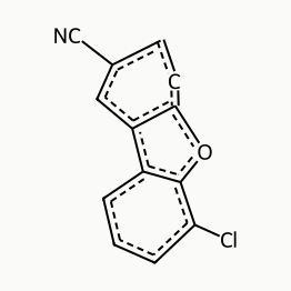 N#Cc1ccc2oc3c(Cl)cccc3c2c1